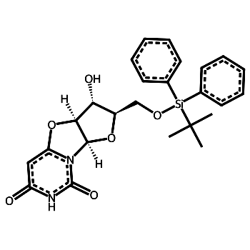 CC(C)(C)[Si](OC[C@H]1O[C@@H]2[C@@H](Oc3cc(=O)[nH]c(=O)n32)[C@@H]1O)(c1ccccc1)c1ccccc1